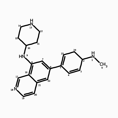 CNC1C=CC(c2cc(NC3CCNCC3)c3cnccc3c2)=CC1